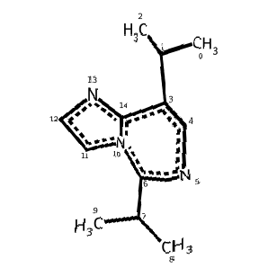 CC(C)c1cnc(C(C)C)n2ccnc12